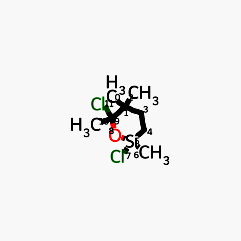 CC1(C)CC[Si](C)(Cl)OC1(C)Cl